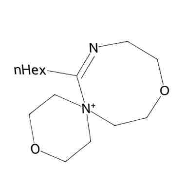 CCCCCC/C1=N/CCOCC[N+]12CCOCC2